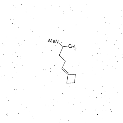 CNC(C)CCC=C1CCC1